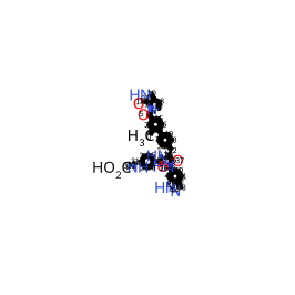 Cc1cc(C(=O)N2CCC3CNC(=O)C32)ccc1-c1ccc(C[C@H](NC(=O)[C@H]2CC[C@H](CNC(=O)O)CC2)C(=O)Nc2ccc3cn[nH]c3c2)cc1